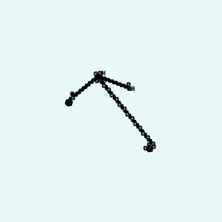 O=C(O)CCCCCCCCCCCCCCC(CCCCCCCCCCCCCCC(=O)OCc1ccccc1)(C(=O)O)C(=O)NCCOCCOCCOCCOCCOCCOCCOCCOCCOCCOCCOCCOCCC(=O)ON1C(=O)CCC1=O